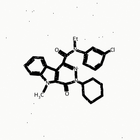 CCN(C(=O)c1nn(C2CCCCC2)c(=O)c2c1c1ccccc1n2C)c1cccc(Cl)c1